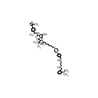 Cc1ncsc1-c1ccc([C@H](C)NC(=O)[C@@H]2C[C@@H](O)CN2C(=O)C(NC(=O)CCCCCCCN2CCN(c3ccc(CNCCCNCc4ccccc4N(C)C)cc3)CC2)C(C)(C)C)cc1